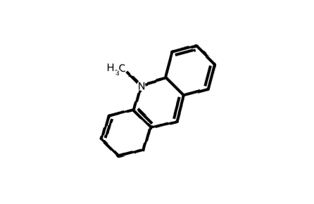 CN1C2=C(C=C3C=CC=CC31)CCC=C2